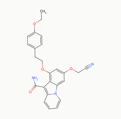 CCOc1ccc(CCOc2cc(OCC#N)cc3c2c(C(N)=O)c2ccccn23)cc1